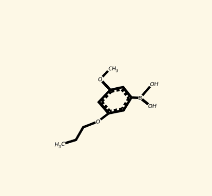 CCCOc1cc(OC)cc(B(O)O)c1